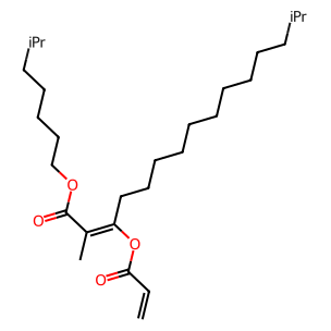 C=CC(=O)OC(CCCCCCCCCCC(C)C)=C(C)C(=O)OCCCCCC(C)C